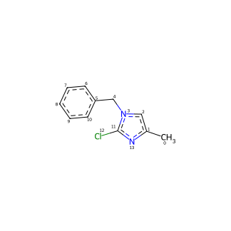 Cc1cn(Cc2ccccc2)c(Cl)n1